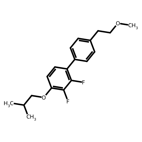 COCCc1ccc(-c2ccc(OCC(C)C)c(F)c2F)cc1